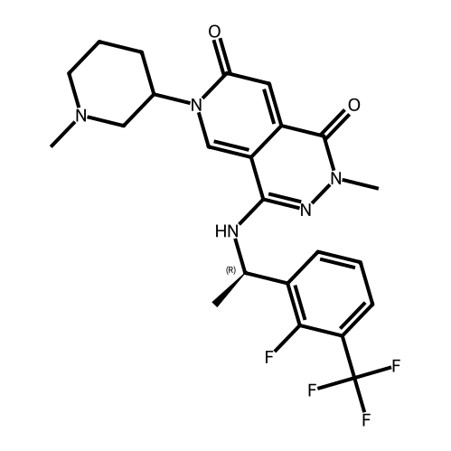 C[C@@H](Nc1nn(C)c(=O)c2cc(=O)n(C3CCCN(C)C3)cc12)c1cccc(C(F)(F)F)c1F